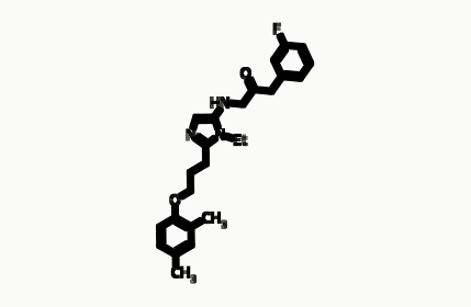 CCn1c(NCC(=O)Cc2cccc(F)c2)cnc1CCCOc1ccc(C)cc1C